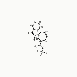 CC(C)(C)OC(=O)N1CC=CCC2(C1)C(=O)Nc1ccccc12